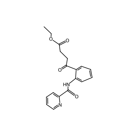 CCOC(=O)CCC(=O)c1ccccc1NC(=O)c1ccccn1